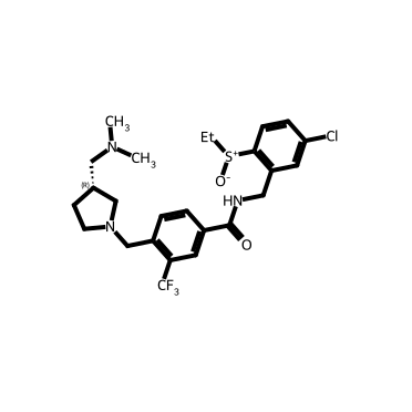 CC[S+]([O-])c1ccc(Cl)cc1CNC(=O)c1ccc(CN2CC[C@H](CN(C)C)C2)c(C(F)(F)F)c1